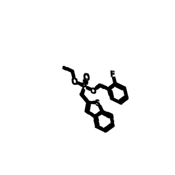 CCOP(=O)(Cc1cc2ccccc2s1)OCc1ccccc1F